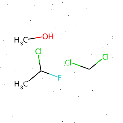 CC(F)Cl.CO.ClCCl